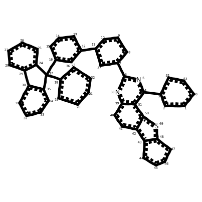 c1ccc(-c2nc(-c3cccc(-c4cccc(C5(c6ccccc6)c6ccccc6-c6ccccc65)c4)c3)nc3ccc4c5ccccc5sc4c23)cc1